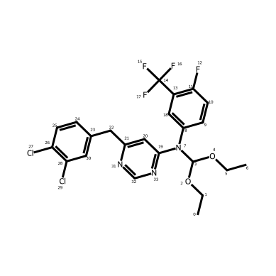 CCOC(OCC)N(c1ccc(F)c(C(F)(F)F)c1)c1cc(Cc2ccc(Cl)c(Cl)c2)ncn1